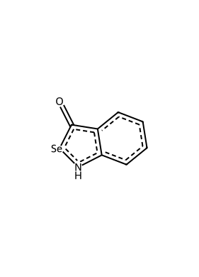 O=c1[se][nH]c2ccccc12